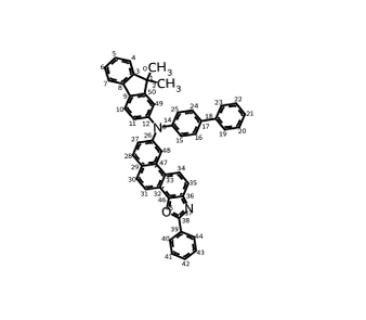 CC1(C)c2ccccc2-c2ccc(N(c3ccc(-c4ccccc4)cc3)c3ccc4ccc5c(ccc6nc(-c7ccccc7)oc65)c4c3)cc21